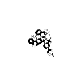 C=CC(=O)N1CCN(c2nc(=O)n(-c3c(C)ccnc3C(C)C)c3nc(-c4ccccc4F)c(Cl)cc23)C(C(F)(F)F)C1